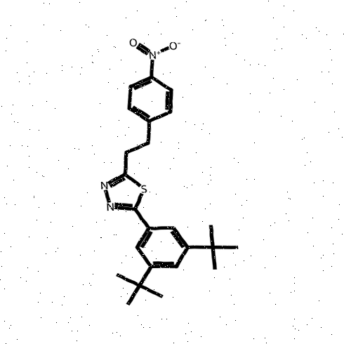 CC(C)(C)c1cc(-c2nnc(CCc3ccc([N+](=O)[O-])cc3)s2)cc(C(C)(C)C)c1